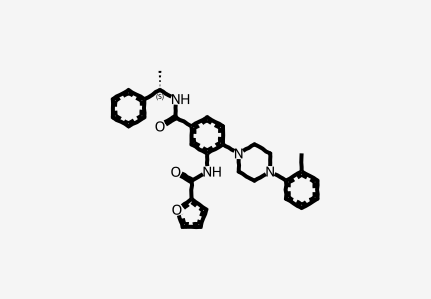 Cc1ccccc1N1CCN(c2ccc(C(=O)N[C@@H](C)c3ccccc3)cc2NC(=O)c2ccco2)CC1